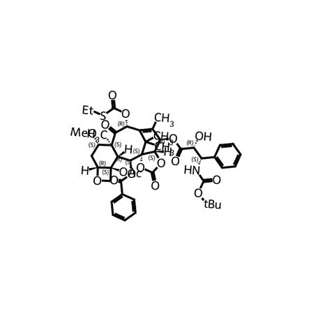 CCSC(=O)O[C@H]1C(=O)[C@]2(C)[C@@H](OC)C[C@H]3OC[C@@]3(OC(C)=O)[C@H]2[C@H](OC(=O)c2ccccc2)[C@]23OC(=O)O[C@H]2[C@H](OC(=O)[C@H](O)[C@@H](NC(=O)OC(C)(C)C)c2ccccc2)C(C)=C1C3(C)C